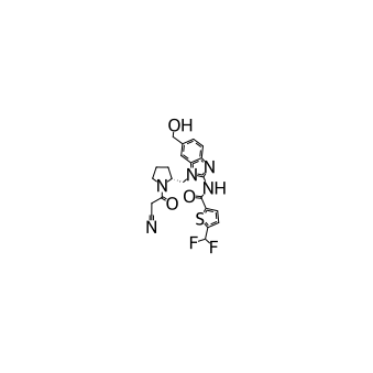 N#CCC(=O)N1CCC[C@@H]1Cn1c(NC(=O)c2ccc(C(F)F)s2)nc2ccc(CO)cc21